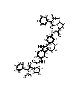 CN(C)[C@@H](C(=O)N1CCC[C@H]1C(=O)Nc1ccc2c(c1)CCCc1c-2[nH]c2ccc(NC(=O)[C@@H]3CCCN3C(=O)[C@@H](c3ccccc3)N(C)C)cc12)c1ccccc1